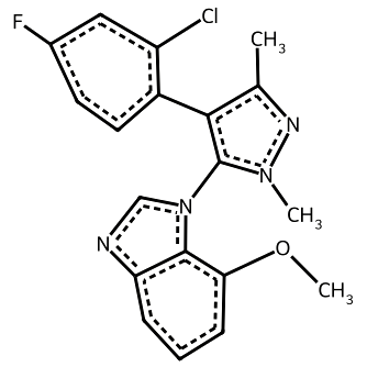 COc1cccc2ncn(-c3c(-c4ccc(F)cc4Cl)c(C)nn3C)c12